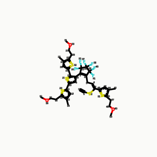 C#CS/C(=C\CC1=C(c2cc(-c3cc(C)c(CCOC)s3)sc2-c2cc(C)c(CCOC)s2)C(F)(F)C(F)(F)C1(F)F)c1cc(C)c(CCOC)s1